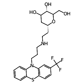 OCC1O[C@H](CCNCCCN2c3ccccc3Sc3ccc(C(F)(F)F)cc32)CC(O)[C@@H]1O